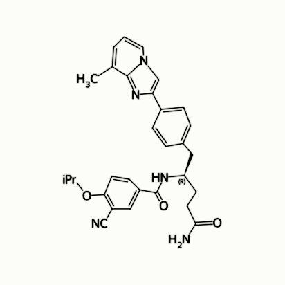 Cc1cccn2cc(-c3ccc(C[C@@H](CCC(N)=O)NC(=O)c4ccc(OC(C)C)c(C#N)c4)cc3)nc12